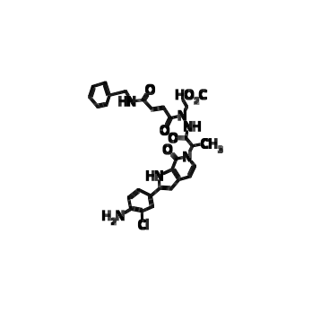 CC(C(=O)NN(CC(=O)O)C(=O)/C=C/C(=O)NCc1ccccc1)n1ccc2cc(-c3ccc(N)c(Cl)c3)[nH]c2c1=O